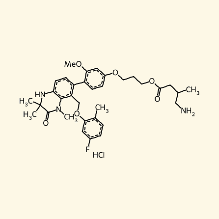 COc1cc(OCCCOC(=O)CC(C)CN)ccc1-c1ccc2c(c1COc1cc(F)ccc1C)N(C)C(=O)C(C)(C)N2.Cl